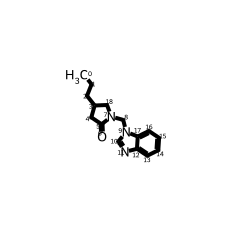 CCCC1CC(=O)N(Cn2[c]nc3ccccc32)C1